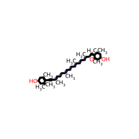 CC1=C(C#C/C(C)=C/C=C/C(C)=C/C=C/C=C(C)/C=C/C=C(\C)C2C=C3C(C)(C)CC(O)CC3(C)O2)C(C)(C)CC(O)C1